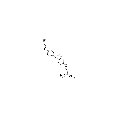 CC(C)=CCOc1ccc(C(c2ccc(OCCC(C)C)cc2)(C(F)(F)F)C(F)(F)F)cc1